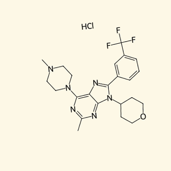 Cc1nc(N2CCN(C)CC2)c2nc(-c3cccc(C(F)(F)F)c3)n(C3CCOCC3)c2n1.Cl